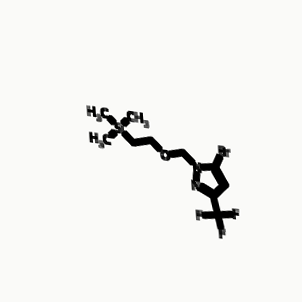 C[Si](C)(C)CCOCn1nc(C(F)(F)F)cc1Br